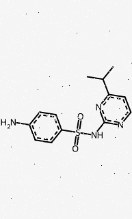 CC(C)c1ccnc(NS(=O)(=O)c2ccc(N)cc2)n1